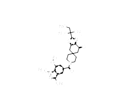 CCOc1cc(C(=O)N2CCC3(CC2)CC(=O)c2nc(C(C)(C)CO)sc2C3)cc2c(C)nn(C)c12